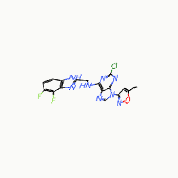 Cc1cc(-n2cnc3c(NCc4nc5c(F)c(F)ccc5[nH]4)nc(Cl)nc32)no1